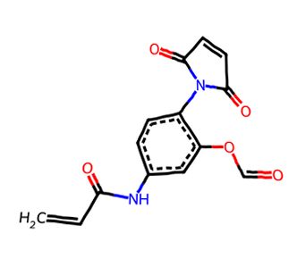 C=CC(=O)Nc1ccc(N2C(=O)C=CC2=O)c(OC=O)c1